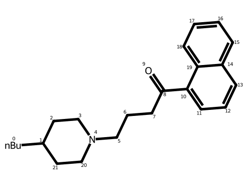 CCCCC1CCN(CCCC(=O)c2cccc3ccccc23)CC1